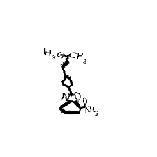 CN(C)CCc1ccc(-c2nc3cccc(C(N)=O)c3o2)cc1